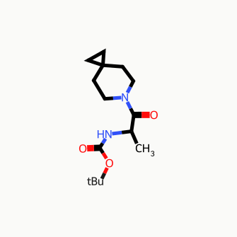 CC(NC(=O)OC(C)(C)C)C(=O)N1CCC2(CC1)CC2